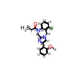 BCC(=O)N1Cc2nc(-c3ccccc3OC)cn2Cc2c(F)cccc21